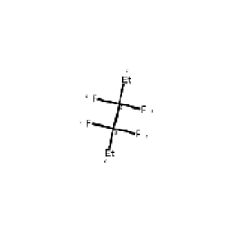 CCC(F)(F)C(F)(F)CC